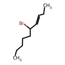 CCC=CC(Br)CCCCC